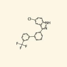 FC(F)(F)c1cccc(-c2cccc(-c3n[nH]c4ccc(Cl)cc34)c2)c1